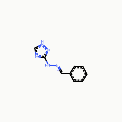 C(=N\Nc1nc[nH]n1)/c1ccccc1